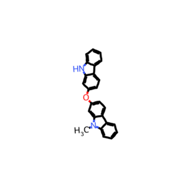 Cn1c2ccccc2c2ccc(Oc3ccc4c(c3)[nH]c3ccccc34)cc21